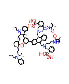 C=C(C)C(=O)NCCCN(Cc1ccccc1B(O)O)Cc1c2ccccc2c(CN(CCCNC(=O)C(=C)C)Cc2ccccc2B(O)O)c2cc(-c3cccc(OC4=C(/C=C/C5=[N+](CCC)c6ccccc6C5(C)C)CCC/C4=C\C=C4\N(CCC)c5ccccc5C4(C)C)c3)ccc12